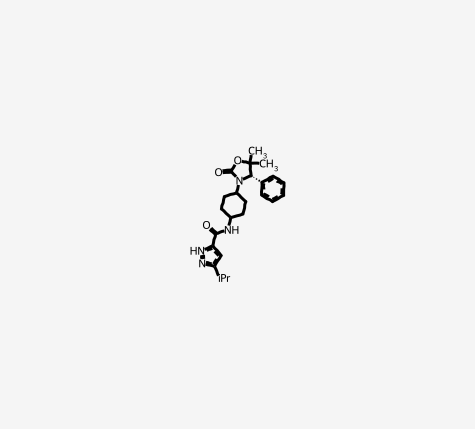 CC(C)c1cc(C(=O)NC2CCC(N3C(=O)OC(C)(C)[C@@H]3c3ccccc3)CC2)[nH]n1